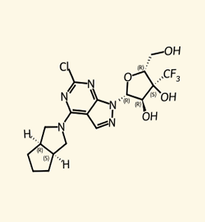 OC[C@H]1O[C@@H](n2ncc3c(N4C[C@H]5CCC[C@H]5C4)nc(Cl)nc32)[C@H](O)[C@@]1(O)C(F)(F)F